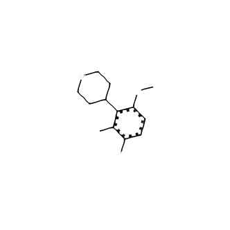 COc1ccc(F)c(F)c1C1CCNCC1